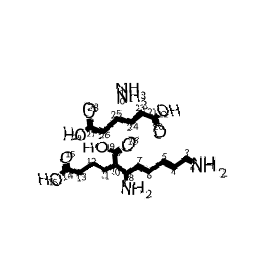 N.N.NCCCCCC(N)C(CCCC(=O)O)C(=O)O.O=C(O)CCCCC(=O)O